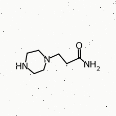 NC(=O)[CH]CN1CCNCC1